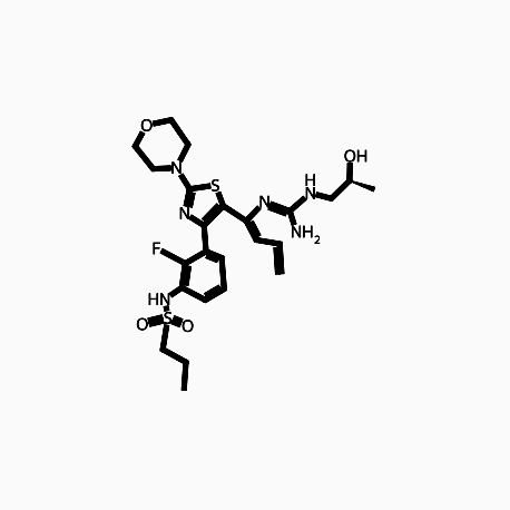 C=C/C=C(\N=C(/N)NC[C@H](C)O)c1sc(N2CCOCC2)nc1-c1cccc(NS(=O)(=O)CCC)c1F